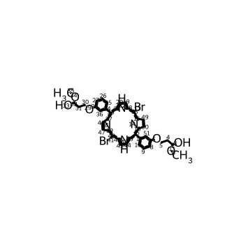 COC(O)CCOc1cccc(-c2c3nc(c(Br)c4ccc([nH]4)c(-c4cccc(OCCC(O)OC)c4)c4nc(c(Br)c5ccc2[nH]5)C=C4)C=C3)c1